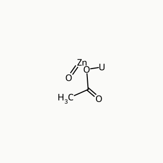 CC(=O)[O][U].[O]=[Zn]